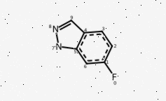 Fc1ccc2c(c1)[N]N=C2